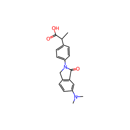 CC(C(=O)O)c1ccc(N2Cc3ccc(N(C)C)cc3C2=O)cc1